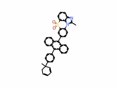 Cc1nc2cccc3c2n1-c1ccc(-c2c4ccccc4c(-c4ccc(C5(C)C=CC=CC5)cc4)c4ccccc24)cc1S3(=O)=O